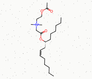 CCCCC/C=C\C[C@@H](CCCCCC)OC(=O)C[N+](C)(C)CCOC(C)=O